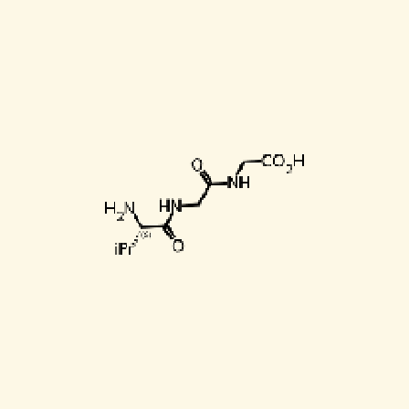 CC(C)[C@H](N)C(=O)NCC(=O)NCC(=O)O